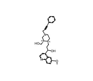 COc1ccc2nccc(C(O)CC[C@@H]3CCN(CC#Cc4ccccc4)C[C@@H]3CO)c2c1